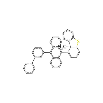 CC12C(c3c4ccccc4c(-c4cccc(-c5ccccc5)c4)c4ccccc34)=CC=CC1Sc1ccccc12